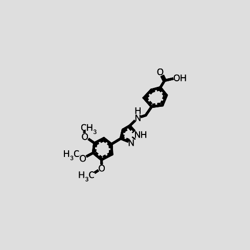 COc1cc(-c2cc(NCc3ccc(C(=O)O)cc3)[nH]n2)cc(OC)c1OC